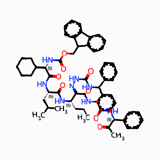 CCC[C@H](NC(=O)[C@H](CC(C)C)NC(=O)[C@@H](NC(=O)OCC1c2ccccc2-c2ccccc21)C1CCCCC1)C(=NNC(=O)NC(c1ccccc1)c1ccccc1)C(=O)NCC(=O)N[C@H](C(C)=O)c1ccccc1